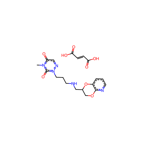 Cn1c(=O)cnn(CCCNCC2COc3ncccc3O2)c1=O.O=C(O)C=CC(=O)O